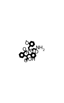 COc1ccccc1CCN1C(=O)c2ccccc2C(C(=O)O)C1c1ccccc1OCC(N)=O